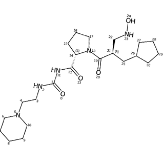 O=C(NCCN1CCCCC1)NC(=O)[C@@H]1CCCN1C(=O)[C@@H](CNO)CC1CCCC1